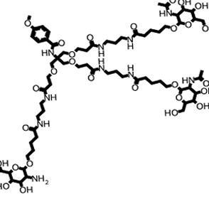 COc1ccc(C(=O)NC(COCCC(=O)NCCCNC(=O)CCCCOC2OC(CO)C(O)C(O)C2N)(COCCC(=O)NCCCNC(=O)CCCCOC2OC(CO)C(O)C(O)C2NC(C)=O)COCCC(=O)NCCCNC(=O)CCCCOC2OC(CO)C(O)C(O)C2NC(C)=O)cc1